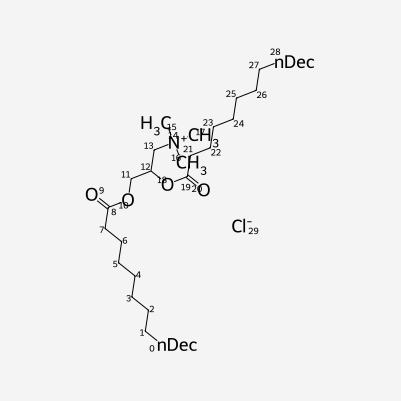 CCCCCCCCCCCCCCCCCC(=O)OCC(C[N+](C)(C)C)OC(=O)CCCCCCCCCCCCCCCCC.[Cl-]